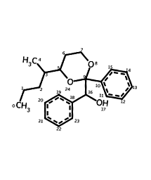 CCCC(C)C1CCOC(c2ccccc2)(C(O)c2ccccc2)O1